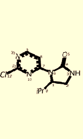 CC(C)C1CNC(=O)N1c1ccnc(Cl)n1